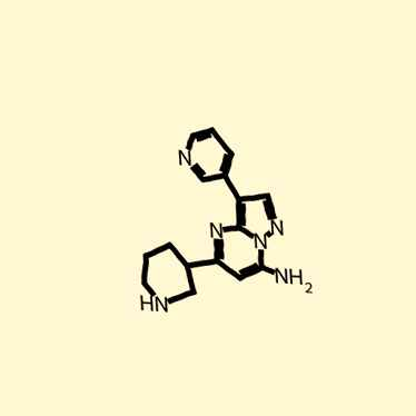 Nc1cc(C2CCCNC2)nc2c(-c3cccnc3)cnn12